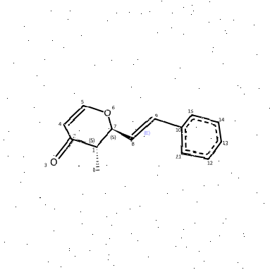 C[C@@H]1C(=O)C=CO[C@H]1/C=C/c1ccccc1